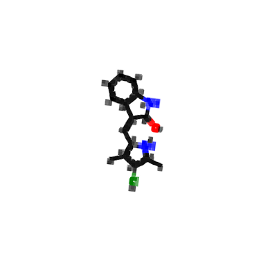 Cc1[nH]c(/C=C2\C(=O)Nc3ccccc32)c(C)c1Cl